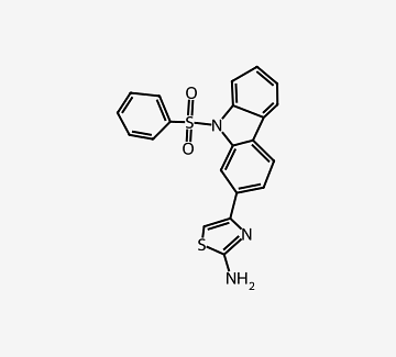 Nc1nc(-c2ccc3c4ccccc4n(S(=O)(=O)c4ccccc4)c3c2)cs1